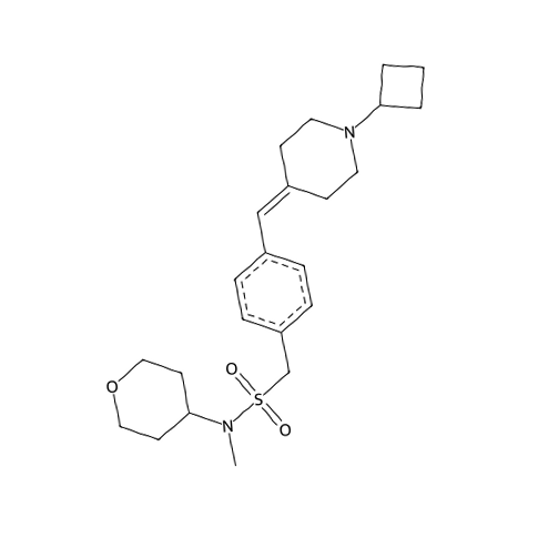 CN(C1CCOCC1)S(=O)(=O)Cc1ccc(C=C2CCN(C3CCC3)CC2)cc1